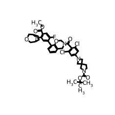 COC(=O)c1cc(F)c(-c2cccc3c2OCN(C(=O)c2c(Cl)cc(N4CC5(CCN(C(=O)OC(C)(C)C)C5)C4)cc2Cl)C3)cc1N1C2CCC1COC2